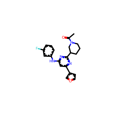 CC(=O)N1CCCC(c2nc(Nc3cccc(F)c3)cc(-c3ccoc3)n2)C1